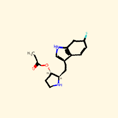 CC(=O)O[C@H]1CCN[C@@H]1Cc1c[nH]c2c1C=CC(F)C2